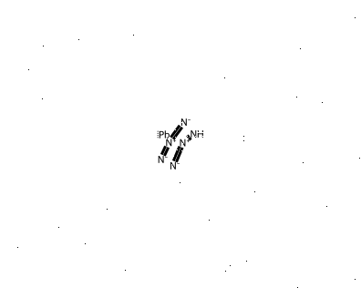 [N-]=[N+]=N.[N-]=[N+]=[N-].[Pb]